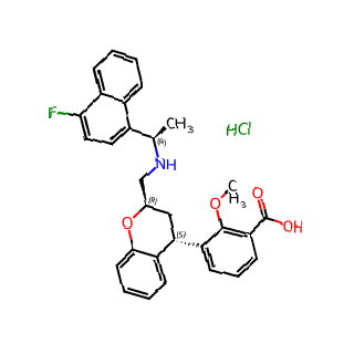 COc1c(C(=O)O)cccc1[C@H]1C[C@H](CN[C@H](C)c2ccc(F)c3ccccc23)Oc2ccccc21.Cl